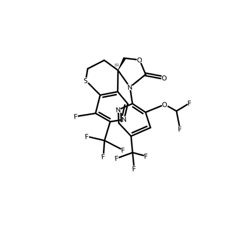 O=C1OC[C@@]2(CCSc3c2cnc(C(F)(F)F)c3F)N1c1ncc(C(F)(F)F)cc1OC(F)F